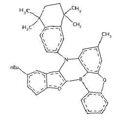 CCCCc1ccc2oc3c(c2c1)N(c1ccc2c(c1)C(C)(C)CCC2(C)C)c1cc(C)cc2c1B3c1ccccc1O2